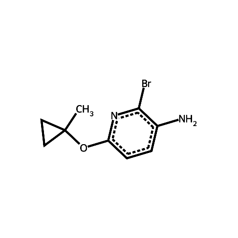 CC1(Oc2ccc(N)c(Br)n2)CC1